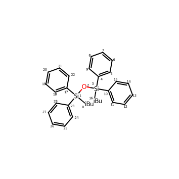 CCC(C)[Si](O[Si](c1ccccc1)(c1ccccc1)C(C)CC)(c1ccccc1)c1ccccc1